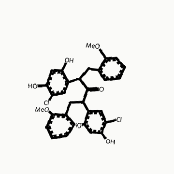 COc1ccccc1CC(C(=O)C(Cc1ccccc1OC)c1cc(Cl)c(O)cc1O)c1cc(Cl)c(O)cc1O